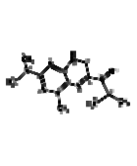 Cc1nc(N(C)C)nc2c1N=C(C(=O)C(C)C)CN2